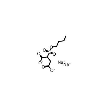 CCCCOS(=O)(=O)C(CC(=O)[O-])C(=O)[O-].[Na+].[Na+]